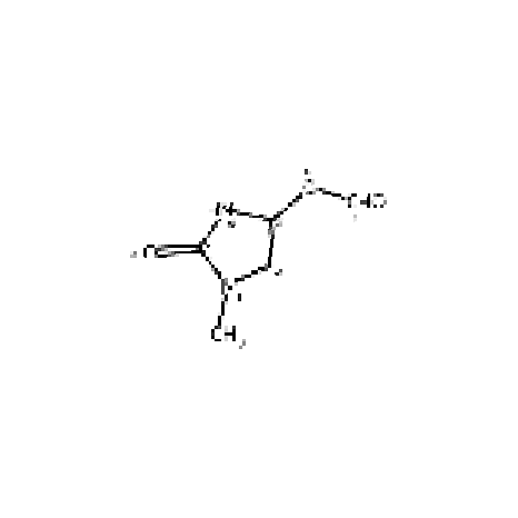 CN1CC(OC=O)NC1=O